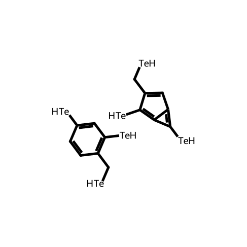 [TeH]Cc1cc2c([TeH])c-2c1[TeH].[TeH]Cc1ccc([TeH])cc1[TeH]